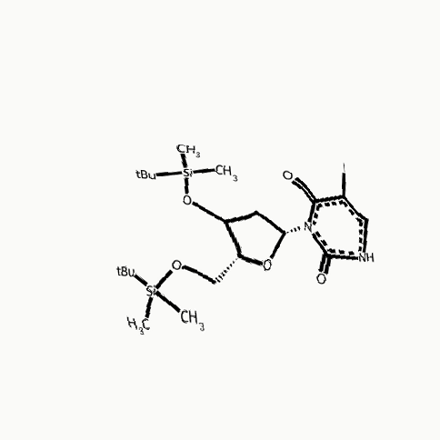 CC(C)(C)[Si](C)(C)OC[C@H]1O[C@@H](n2c(=O)[nH]cc(I)c2=O)CC1O[Si](C)(C)C(C)(C)C